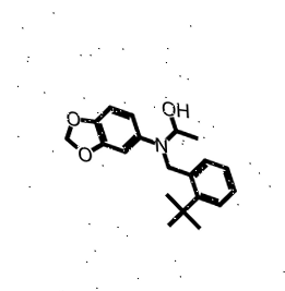 CC(O)N(Cc1ccccc1C(C)(C)C)c1ccc2c(c1)OCO2